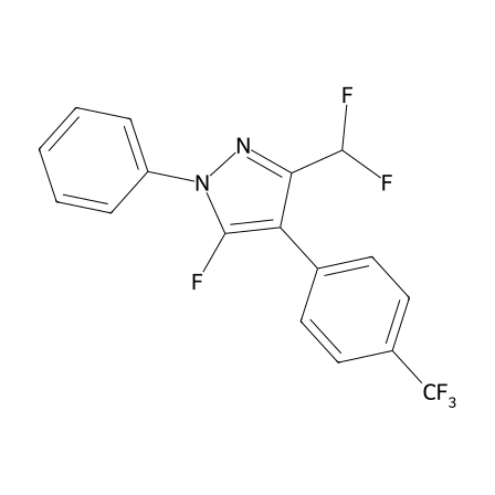 Fc1c(-c2ccc(C(F)(F)F)cc2)c(C(F)F)nn1-c1ccccc1